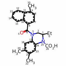 CCC1CN(C(=O)c2ccc(C)c3ccccc23)c2cc(C)c(C)cc2N1C(=O)O